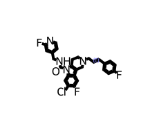 O=C(NCc1ccnc(F)c1)n1c2c(c3cc(F)c(Cl)cc31)CN(C/C=C/c1ccc(F)cc1)CC2